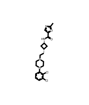 Cc1ncc(C(=O)N[C@H]2C[C@@H](CCN3CCN(c4cccc(Cl)c4Cl)CC3)C2)o1